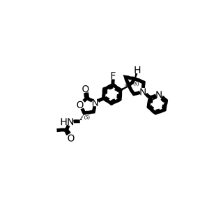 CC(=O)NC[C@H]1CN(c2ccc([C@@]34C[C@@H]3CN(c3ccccn3)C4)c(F)c2)C(=O)O1